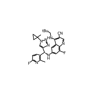 Cc1nc(F)ccc1[C@H](Nc1cc(F)c2ncc(C#N)c(NCC(C)(C)C)c2c1)c1cn(C2(C)CC2)nn1